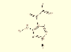 C=C(C)C(=O)c1ccc(Br)cc1OC